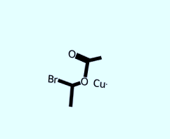 CC(=O)OC(C)Br.[Cu]